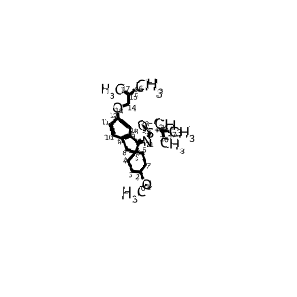 COC1CCC2(CC1)Cc1ccc(OCC(C)C)cc1/C2=N\[S+]([O-])C(C)(C)C